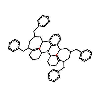 c1ccc(CC2CCC(c3cccc(C4CCC(Cc5ccccc5)CC(Cc5ccccc5)C4)c3P(C3CCCCC3)C3CCCCC3)CC(Cc3ccccc3)C2)cc1